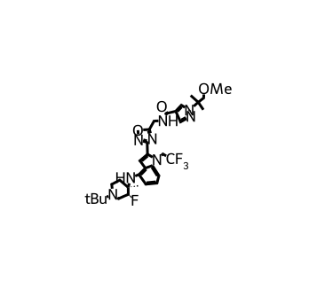 COCC(C)(C)n1cc(C(=O)NCc2nc(-c3cc4c(N[C@]5(C)CCN(C(C)(C)C)C[C@H]5F)cccc4n3CC(F)(F)F)no2)cn1